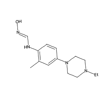 CCN1CCN(c2ccc(N/C=N/O)c(C)c2)CC1